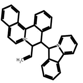 C=CC1C(C2c3ccccc3-c3cccc[n+]32)c2ccccc2-c2c3ccccc3cc[n+]21